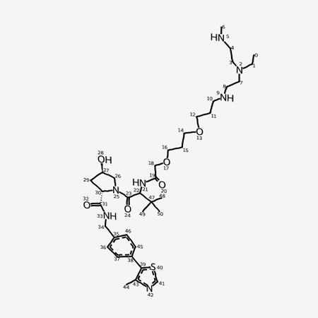 CCN(CCNC)CCNCCCOCCCOCC(=O)NC(C(=O)N1C[C@H](O)C[C@H]1C(=O)NCc1ccc(-c2scnc2C)cc1)C(C)(C)C